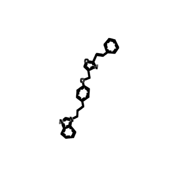 C(=Cc1nc(COc2ccc(CCCn3cnc4ccccc43)cc2)co1)c1ccccc1